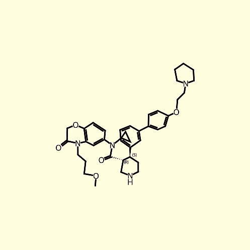 COCCCN1C(=O)COc2ccc(N(C(=O)[C@H]3CNCC[C@@H]3c3cccc(-c4ccc(OCCN5CCCCC5)cc4)c3)C3CC3)cc21